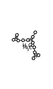 CC1(C)c2cc(-c3ccc4c(c3)c3ccccc3n4-c3ccccc3)ccc2-c2ccc(N(c3ccc(-c4ccccc4)cc3)c3ccc(-c4ccc(-c5ccc6c7ccccc7n(-c7ccccc7)c6c5)cc4)cc3)cc21